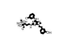 O=PC(O)(CCCNc1nc(Nc2cccc(Cl)c2)c2ncn(CCc3cccc(O)c3)c2n1)P(=O)(O)O